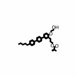 C=C(C)C(=O)OCCCc1cc(-c2ccc(-c3ccc(CCCCC)cc3)cc2)ccc1OCCO